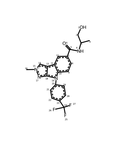 CC(CO)NC(=O)c1ccc2c(c1)c1cn(C)nc1n2-c1ccc(C(F)(F)F)cc1